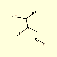 C[Si]CC(F)C(F)F